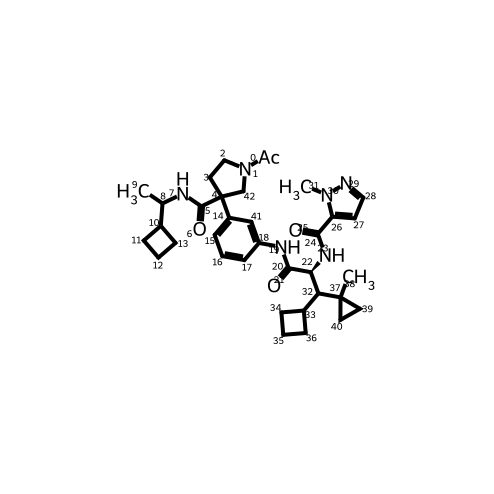 CC(=O)N1CCC(C(=O)NC(C)C2CCC2)(c2cccc(NC(=O)[C@@H](NC(=O)c3ccnn3C)C(C3CCC3)C3(C)CC3)c2)C1